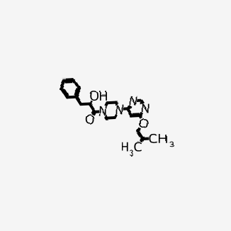 CC(C)COc1cc(N2CCN(C(=O)[C@H](O)Cc3ccccc3)CC2)ncn1